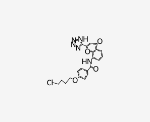 O=C(Nc1cccc2c(=O)cc(-c3nnn[nH]3)oc12)c1ccc(OCCCCCl)cc1